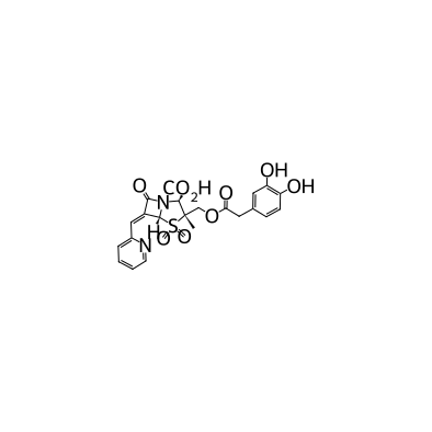 C[C@]1(COC(=O)Cc2ccc(O)c(O)c2)[C@H](C(=O)O)N2C(=O)/C(=C/c3ccccn3)[C@H]2S1(=O)=O